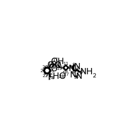 Nc1ncnc2c1ncn2[C@@H]1C[C@H](COP(=O)(O)Oc2cccc(F)c2)[C@H]1CO